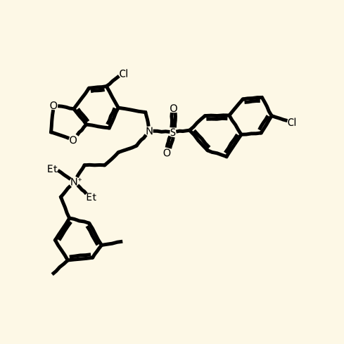 CC[N+](CC)(CCCCN(Cc1cc2c(cc1Cl)OCO2)S(=O)(=O)c1ccc2cc(Cl)ccc2c1)Cc1cc(C)cc(C)c1